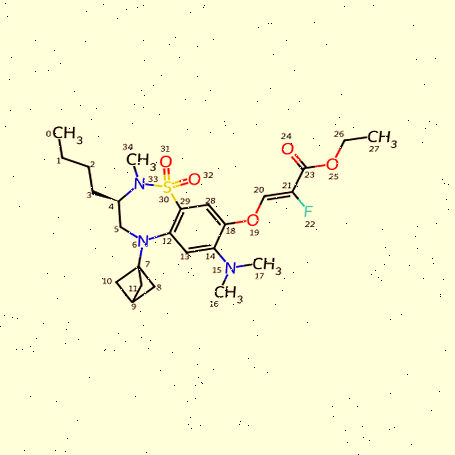 CCCC[C@@H]1CN(C23CC(C2)C3)c2cc(N(C)C)c(O/C=C(\F)C(=O)OCC)cc2S(=O)(=O)N1C